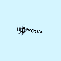 CC(=O)OCOCCCn1cc(F)c(=O)[nH]c1=O